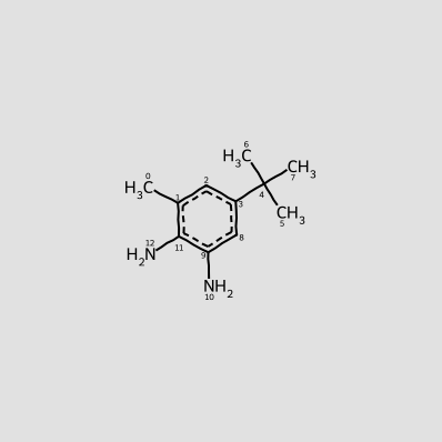 Cc1cc(C(C)(C)C)cc(N)c1N